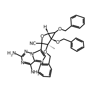 C[C@]1(OCc2ccccc2)C(C#N)(c2cnc3c(N)nc(N)nn23)O[C@@H]2C(OCc3ccccc3)[C@@]21OCc1ccccc1